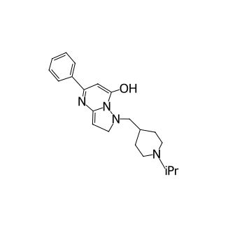 CC(C)N1CCC(CN2CC=C3N=C(c4ccccc4)C=C(O)N32)CC1